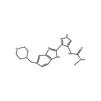 CN(C)C(=O)Nc1c[nH]nc1-c1nc2cc(CN3CCOCC3)ccc2[nH]1